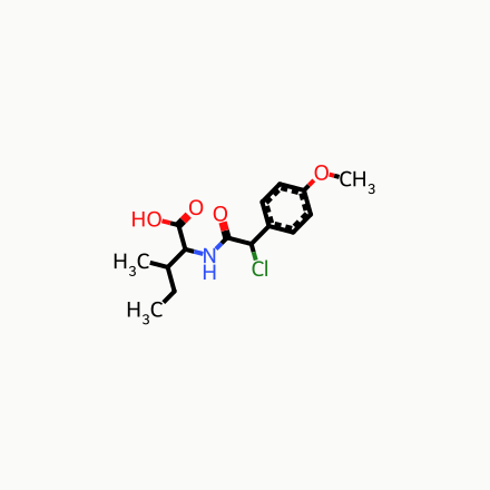 CCC(C)C(NC(=O)C(Cl)c1ccc(OC)cc1)C(=O)O